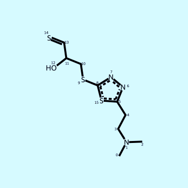 CN(C)CCc1nnc(SCC(O)C=S)s1